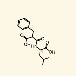 CC(C)C[C@H](NC(=O)C(Cc1ccccc1)C(=O)O)C(=O)O